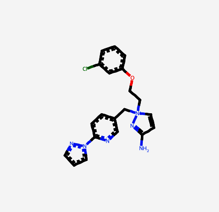 NC1=N[N+](CCOc2cccc(Cl)c2)(Cc2ccc(-n3cccn3)nc2)C=C1